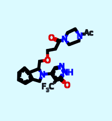 CC(=O)N1CCN(C(=O)CCOCC2c3ccccc3CN2c2cn[nH]c(=O)c2C(F)(F)F)CC1